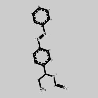 CCC(O[C]=O)c1ccc(N=Nc2ccccc2)cc1